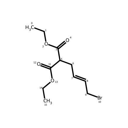 CCOC(=O)C(CC=CCBr)C(=O)OCC